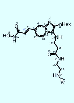 CCCCCCc1nc2cc(/C=C/C(=O)NO)ccn2c1NCCC(=O)NCCNCC